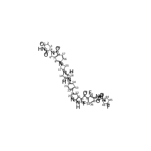 O=C1CCC(N2Cc3cc(N4CC(N5C[C@H]6C[C@@H]5CN6c5ccc(-c6cnc7[nH]cc(C(=O)c8c(F)ccc(NS(=O)(=O)N9CC[C@@H](F)C9)c8F)c7c6)cc5)C4)ccc3C2=O)C(=O)N1